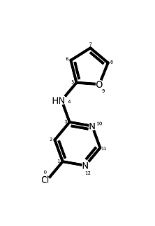 Clc1cc(Nc2ccco2)ncn1